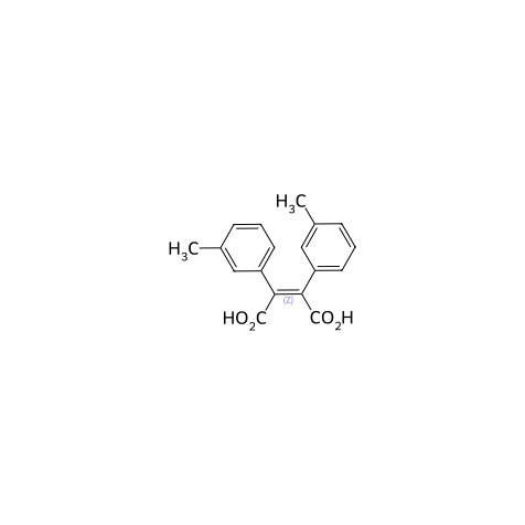 Cc1cccc(/C(C(=O)O)=C(/C(=O)O)c2cccc(C)c2)c1